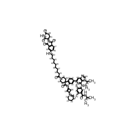 Cc1cc(F)c(Nc2nc(-c3ccc4c(c3)N(C3=C[C@H](N5CCCCC5)C3)C(=O)C43CCN(C(=O)CCCCCCCCCNc4ccc5c(c4)C(=O)N(C4CCC(=O)NC4=O)C5=O)CC3)cc3ncn(C(C)C)c23)cc1C(=O)NC(C)C